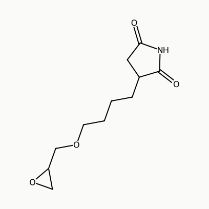 O=C1CC(CCCCOCC2CO2)C(=O)N1